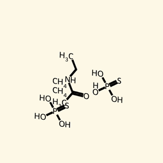 C.C.CCNC(C)=O.OP(O)(O)=S.OP(O)(O)=S